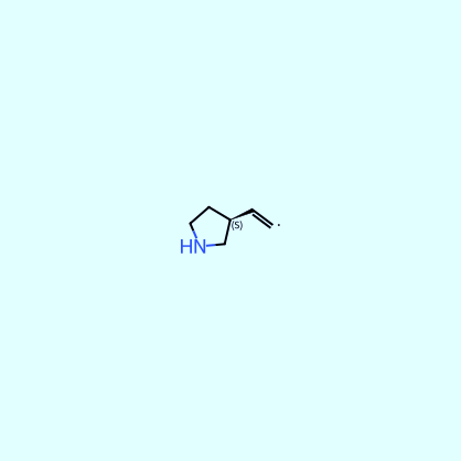 [CH]=C[C@@H]1CCNC1